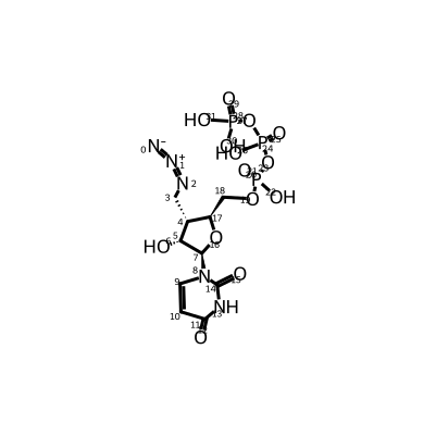 [N-]=[N+]=NC[C@H]1[C@@H](O)[C@H](n2ccc(=O)[nH]c2=O)O[C@@H]1COP(=O)(O)OP(=O)(O)OP(=O)(O)O